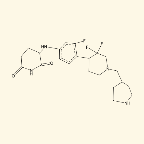 O=C1CCC(Nc2ccc(C3CCN(CC4CCNCC4)CC3(F)F)c(F)c2)C(=O)N1